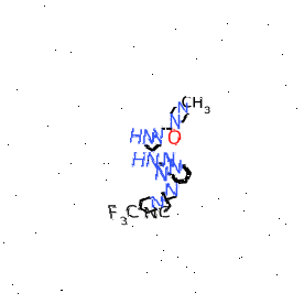 CN1CCN(C(=O)CN2C=C(Nc3nc4c(N5CC(CC#N)(N6CCC(C(F)(F)F)CC6)C5)cccn4n3)CN2)CC1